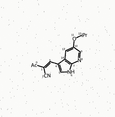 CC(=O)C(C#N)=Cc1c[nH]c2ncc(OC(C)C)cc12